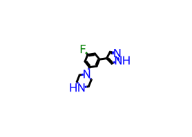 Fc1cc(-c2cn[nH]c2)cc(N2CCNCC2)c1